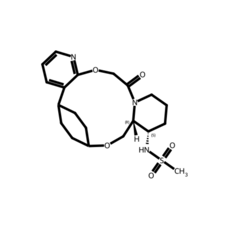 CS(=O)(=O)N[C@H]1CCCN2C(=O)COc3ncccc3C3CCC(CC3)OC[C@@H]12